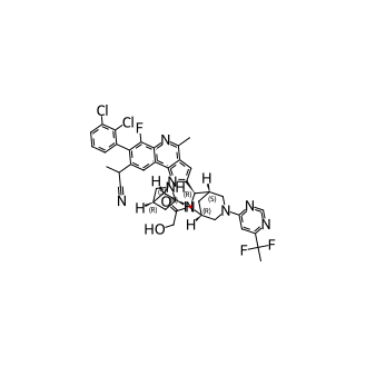 Cc1nc2c(F)c(-c3cccc(Cl)c3Cl)c(C(C)C#N)cc2c2c1cc([C@H]1[C@H]3C[C@H](CN(c4cc(C(C)(F)F)ncn4)C3)N1C(=O)CO)n2[C@H]1[C@H]2CN[C@@H]1C2